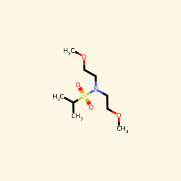 COCCN(CCOC)S(=O)(=O)C(C)C